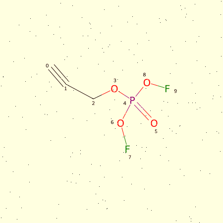 C#CCOP(=O)(OF)OF